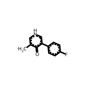 [CH2]c1c[nH]cc(-c2ccc(F)cc2)c1=O